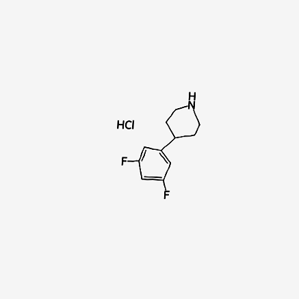 Cl.Fc1cc(F)cc(C2CCNCC2)c1